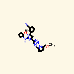 COCc1cccc(Cn2cc(-c3cc(-c4cccc(C#N)c4)nc(NC4CCC[C@H]4OC)n3)nn2)n1